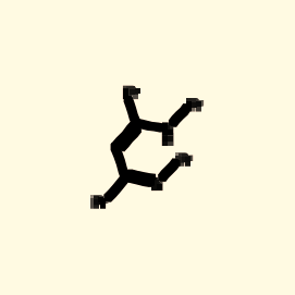 CC(C)/N=C(\C=C(/NC(C)C)C(C)C)C(C)C